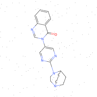 O=c1c2ccccc2ncn1-c1cnc(N2CCN3CCC2CC3)nc1